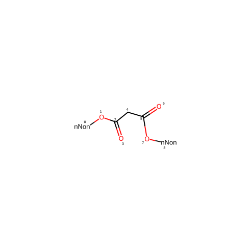 CCCCCCCCCOC(=O)CC(=O)OCCCCCCCCC